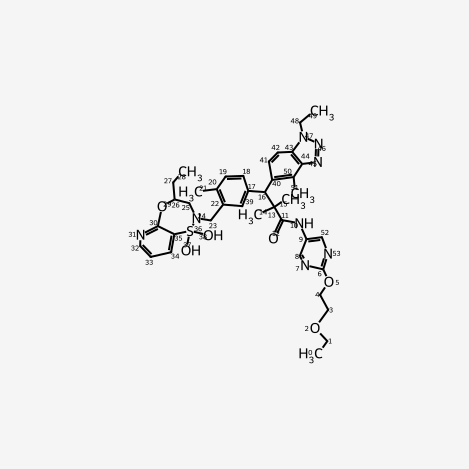 CCOCCOc1ncc(NC(=O)C(C)(C)C(c2ccc(C)c(CN3CC(CC)Oc4ncccc4S3(O)O)c2)c2ccc3c(nnn3CC)c2C)cn1